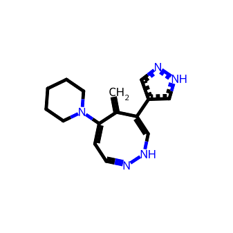 C=C1/C(c2cn[nH]c2)=C\N/N=C\C=C/1N1CCCCC1